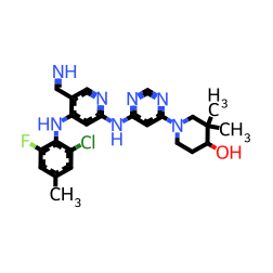 Cc1cc(F)c(Nc2cc(Nc3cc(N4CCC(O)C(C)(C)C4)ncn3)ncc2C=N)c(Cl)c1